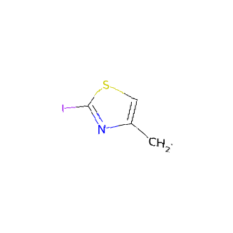 [CH2]c1csc(I)n1